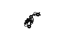 CC(=O)N1CC2CC(c3ccc(CCOc4ccc(C)c(C)c4)cc3)=C(C(=O)N(C)CCc3ccccc3)C(C1)N2